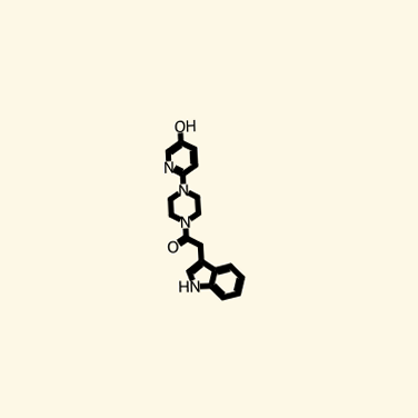 O=C(Cc1c[nH]c2ccccc12)N1CCN(c2ccc(O)cn2)CC1